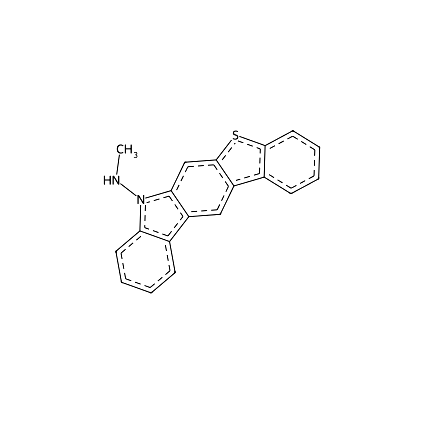 CNn1c2ccccc2c2cc3c(cc21)sc1ccccc13